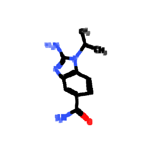 CC(C)n1c(N)nc2cc(C(N)=O)ccc21